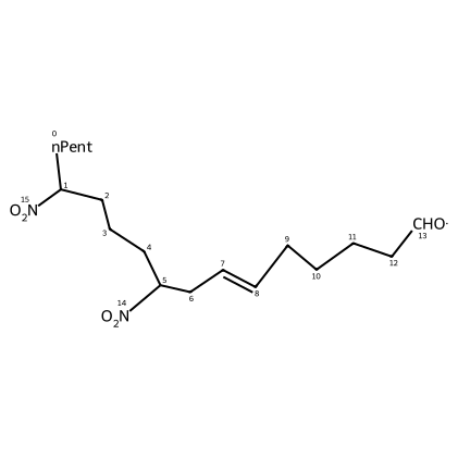 CCCCCC(CCCC(C/C=C/CCCC[C]=O)[N+](=O)[O-])[N+](=O)[O-]